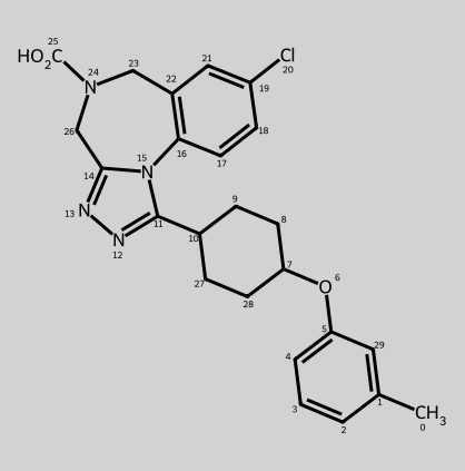 Cc1cccc(OC2CCC(c3nnc4n3-c3ccc(Cl)cc3CN(C(=O)O)C4)CC2)c1